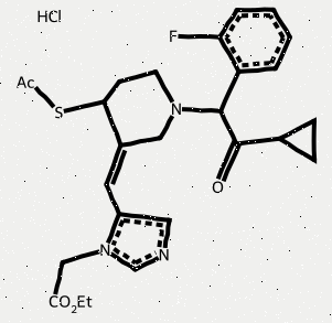 CCOC(=O)Cn1cncc1C=C1CN(C(C(=O)C2CC2)c2ccccc2F)CCC1SC(C)=O.Cl